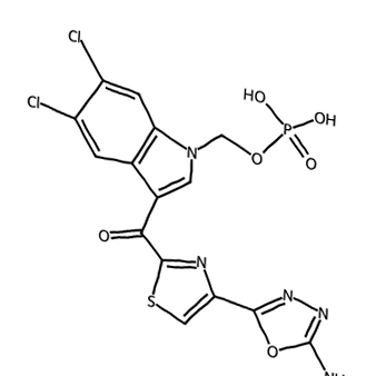 Nc1nnc(-c2csc(C(=O)c3cn(COP(=O)(O)O)c4cc(Cl)c(Cl)cc34)n2)o1